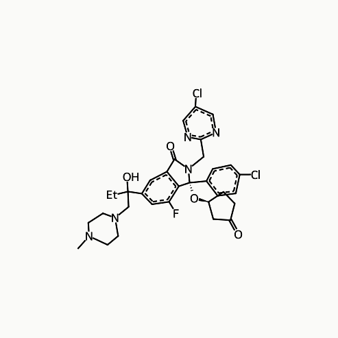 CCC(O)(CN1CCN(C)CC1)c1cc(F)c2c(c1)C(=O)N(Cc1ncc(Cl)cn1)[C@@]2(O[C@H]1CCC(=O)C1)c1ccc(Cl)cc1